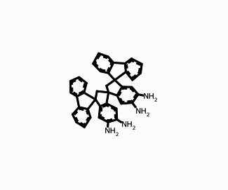 Nc1cc2c(cc1N)C1(CC23CC2(c4ccccc4-c4ccccc42)c2cc(N)c(N)cc23)c2ccccc2-c2ccccc21